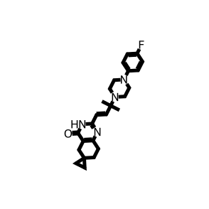 CC(C)(C=Cc1nc2c(c(=O)[nH]1)CC1(CC2)CC1)N1CCN(c2ccc(F)cc2)CC1